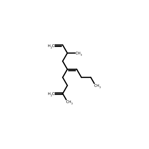 C=CC(C)CC(=CCCC)CCC(=C)C